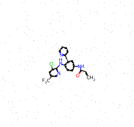 C=CC(=O)Nc1ccc(Nc2ncc(C(F)(F)F)cc2Cl)c(-c2ccccn2)c1